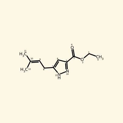 CCOC(=O)c1cc(CC=C(C)C)[nH]n1